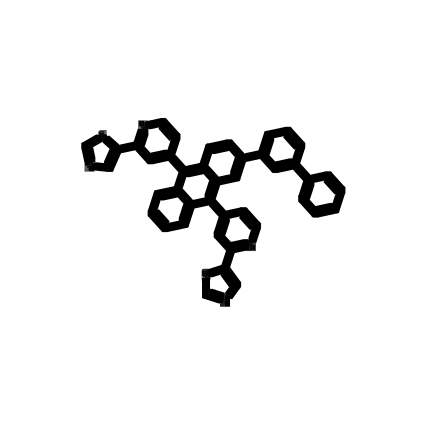 c1ccc(-c2cccc(-c3ccc4c(-c5ccnc(-c6cncs6)c5)c5ccccc5c(-c5ccnc(-c6cncs6)c5)c4c3)c2)cc1